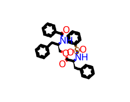 O=C(N[C@@H](COC(=O)[C@H](Cc1ccccc1)NS(=O)(=O)c1ccccc1)Cc1ccccc1)c1ccccc1